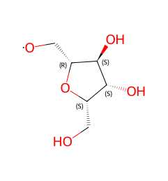 [O]C[C@H]1O[C@@H](CO)[C@@H](O)[C@@H]1O